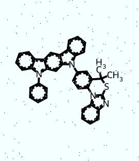 CC1(C)Sc2nc3ccccc3n2-c2ccc(-n3c4ccccc4c4cc5c6ccccc6n(-c6ccccc6)c5cc43)cc21